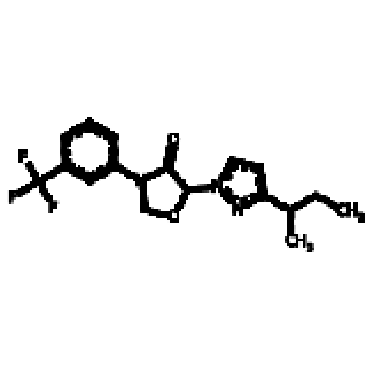 CCC(C)c1ccn(C2OCN(c3cccc(C(F)(F)F)c3)C2=O)n1